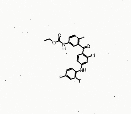 CCOC(=O)Nc1ccc(C)c(C(=O)c2ccc(Nc3ccc(F)cc3F)cc2Cl)c1